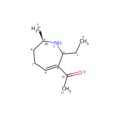 CCC1N[C@H](C)CCC=C1C(C)=O